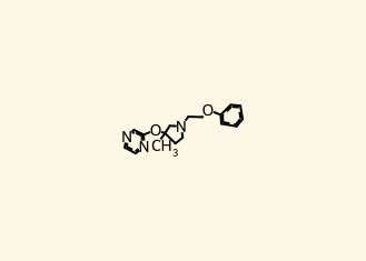 CC1(Oc2cnccn2)CCN(CCOc2ccccc2)C1